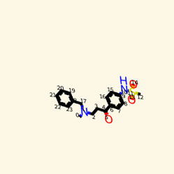 CN(CCC(=O)c1ccc(NS(C)(=O)=O)cc1)Cc1ccccc1